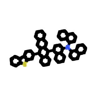 c1ccc2cc3c(-c4ccc(N(c5cccc6ccccc56)c5cccc6ccccc56)c5ccccc45)c4ccccc4c(-c4ccc5c(c4)sc4ccccc45)c3cc2c1